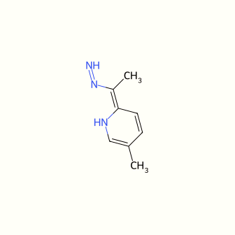 CC1=CN/C(=C(/C)N=N)C=C1